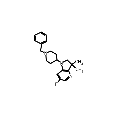 CC1(C)CN(C2CCN(Cc3ccccc3)CC2)c2cc(F)cnc21